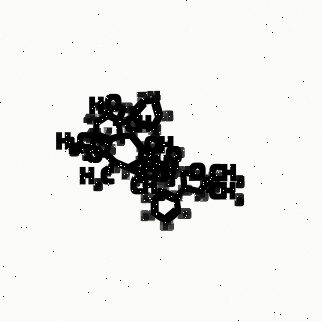 CC1=C2[C@@H](C)C(=O)[C@@]3(C)C([C@H](c4ccccc4)[C@](O)(C[C@@H]1OC(=O)[C@@H]1OC(C)(C)C[C@H]1c1ccccc1)C2(C)C)[C@]1(C)CO[C@@H]1C[C@@H]3C